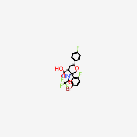 O=C(O)[C@@H]1C[C@H](c2ccc(F)cc2)OC[C@@]1(NC(=O)C(F)(F)F)c1cc(Br)ccc1F